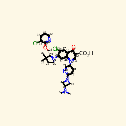 CN(C)C1CN(c2ccc(-n3cc(C(=O)O)c(=O)c4cc(Cl)c(N5CCC(C)(C)[C@@H]5COc5ncccc5Cl)cc43)cn2)C1